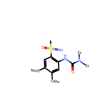 CCN(CC)C(=O)Nc1cc(OC)c(OC)cc1S(C)(=N)=O